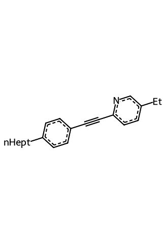 CCCCCCCc1ccc(C#Cc2ccc(CC)cn2)cc1